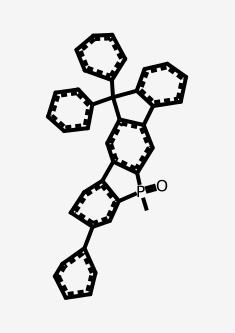 CP1(=O)c2cc(-c3ccccc3)ccc2-c2cc3c(cc21)-c1ccccc1C3(c1ccccc1)c1ccccc1